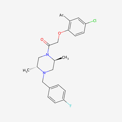 CC(=O)c1cc(Cl)ccc1OCC(=O)N1C[C@@H](C)N(Cc2ccc(F)cc2)C[C@@H]1C